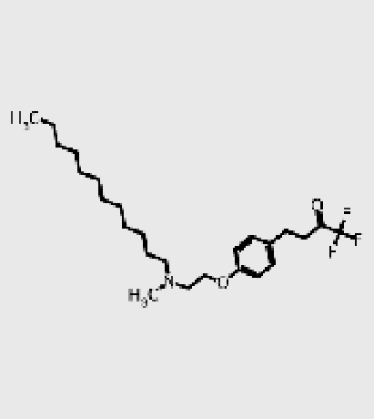 CCCCCCCCCCCCN(C)CCOc1ccc(CCC(=O)C(F)(F)F)cc1